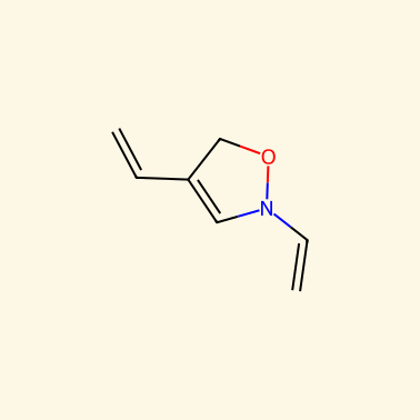 C=CC1=CN(C=C)OC1